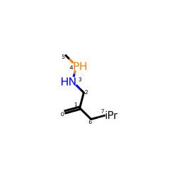 C=C(CNPC)CC(C)C